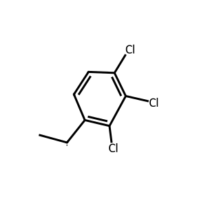 C[CH]c1ccc(Cl)c(Cl)c1Cl